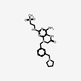 CS(=O)(=O)CCNc1nc(N)c2c(n1)N(Cc1cccc(CN3CCCC3)c1)CC(=O)N2